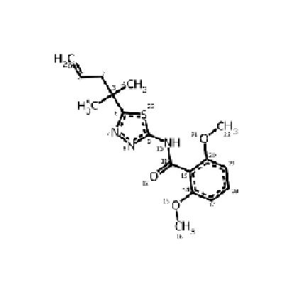 C=CCC(C)(C)c1nnc(NC(=O)c2c(OC)cccc2OC)s1